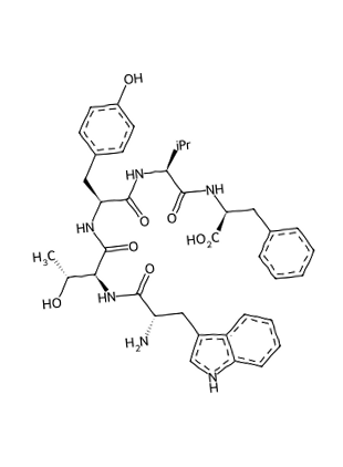 CC(C)[C@H](NC(=O)[C@H](Cc1ccc(O)cc1)NC(=O)[C@@H](NC(=O)[C@@H](N)Cc1c[nH]c2ccccc12)[C@@H](C)O)C(=O)N[C@@H](Cc1ccccc1)C(=O)O